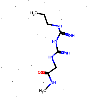 CCCNC(=N)NC(=N)NCC(=O)NC